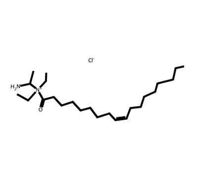 CCCCCCCC/C=C\CCCCCCCC(=O)[N+](CC)(CC)C(C)N.[Cl-]